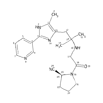 Cc1[nH]c(-c2cccnc2)nc1CC(C)(C)NCC(=O)N1CCC[C@H]1C#N